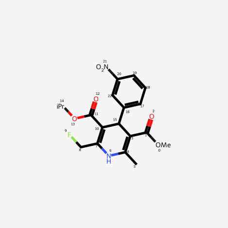 COC(=O)C1=C(C)NC(CF)=C(C(=O)OC(C)C)C1c1cccc([N+](=O)[O-])c1